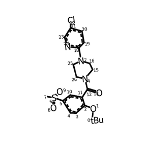 CC(C)(C)Oc1ccc(S(C)(=O)=O)cc1C(=O)N1CCN(c2ccc(Cl)cn2)CC1